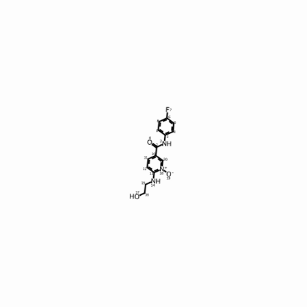 O=C(Nc1ccc(F)cc1)c1ccc(NCCO)[n+]([O-])c1